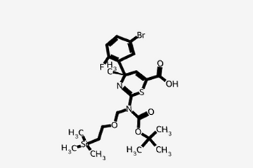 CC(C)(C)OC(=O)N(COCC[Si](C)(C)C)C1=N[C@](C)(c2cc(Br)ccc2F)C=C(C(=O)O)S1